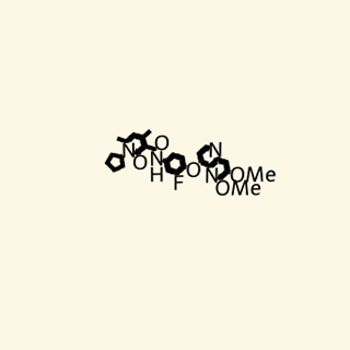 COc1cc2nccc(Oc3ccc(NC(=O)c4c(C)cc(C)n(C5CCCC5)c4=O)cc3F)c2nc1OC